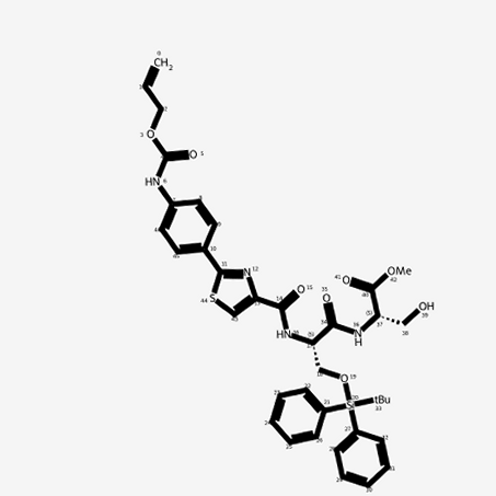 C=CCOC(=O)Nc1ccc(-c2nc(C(=O)N[C@@H](CO[Si](c3ccccc3)(c3ccccc3)C(C)(C)C)C(=O)N[C@@H](CO)C(=O)OC)cs2)cc1